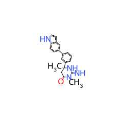 CN1C(=N)N[C@](C)(c2cccc(-c3ccc4[nH]ccc4c3)c2)CC1=O